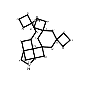 CCCC1(CC2CC34CNC5(C3)CC3(CC6(CCC6)CC6(CCC6)C3)C245)CCC1